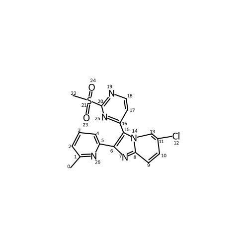 Cc1cccc(-c2nc3ccc(Cl)cn3c2-c2ccnc(S(C)(=O)=O)n2)n1